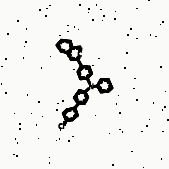 Clc1ccc(-c2ccc(N(c3ccccc3)c3ccc(-c4ccc5ccccc5c4)cc3)cc2)cc1